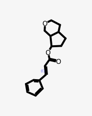 O=C(/C=C/c1ccccc1)OC1CCC2CCOCC21